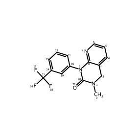 CN1Cc2cccnc2N(c2cccc(C(F)(F)F)c2)C1=O